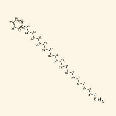 CCCCCCCCCCCCCCCCCCCCCCCCCCc1ccccn1